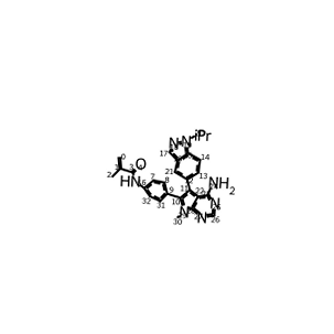 C=C(C)C(=O)Nc1ccc(-c2c(-c3ccc4c(cnn4C(C)C)c3)c3c(N)ncnc3n2C)cc1